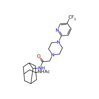 CC(=O)NC12CC3CC(C1)C(NC(=O)CN1CCN(c4ccc(C(F)(F)F)cn4)CC1)C(C3)C2